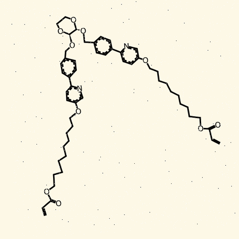 C=CC(=O)OCCCCCCCCCCOc1ccc(-c2ccc(CO[C@H]3OCCO[C@@H]3OCc3ccc(-c4ccc(OCCCCCCCCCCOC(=O)C=C)cn4)cc3)cc2)nc1